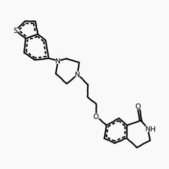 O=C1NCCc2ccc(OCCCN3CCN(c4ccc5sccc5c4)CC3)cc21